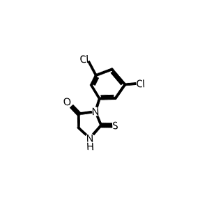 O=C1CNC(=S)N1c1cc(Cl)cc(Cl)c1